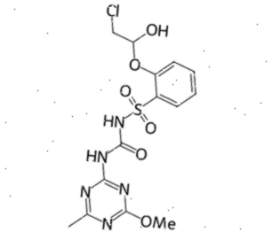 COc1nc(C)nc(NC(=O)NS(=O)(=O)c2ccccc2OC(O)CCl)n1